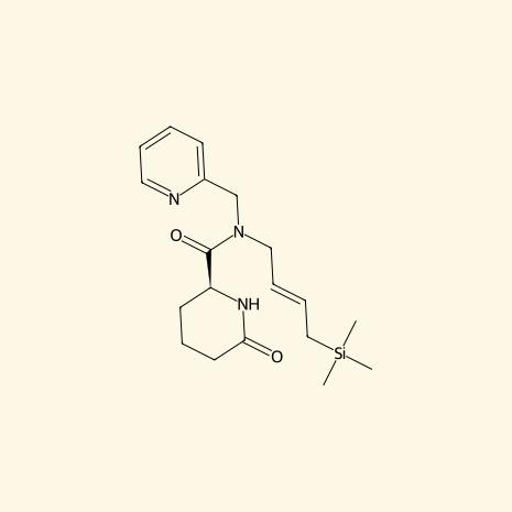 C[Si](C)(C)CC=CCN(Cc1ccccn1)C(=O)[C@@H]1CCCC(=O)N1